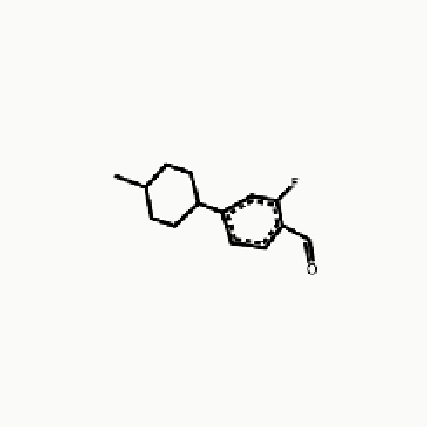 CC1CCC(c2ccc(C=O)c(F)c2)CC1